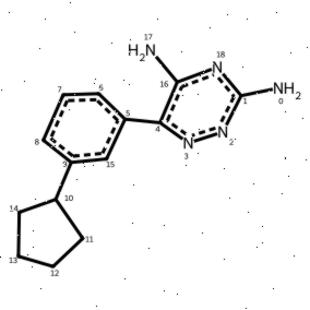 Nc1nnc(-c2cccc(C3CCCC3)c2)c(N)n1